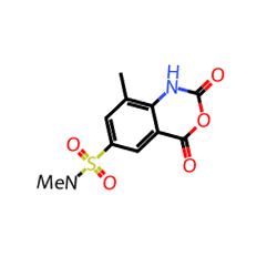 CNS(=O)(=O)c1cc(C)c2[nH]c(=O)oc(=O)c2c1